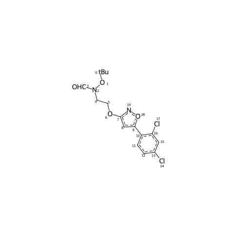 CC(C)(C)ON(C=O)CCOc1cc(-c2ccc(Cl)cc2Cl)on1